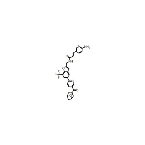 Nc1ccc(/C=C/C(=O)NCc2cc3cc(-c4ccc(C(=O)N5CC6CC(C5)O6)cn4)cc(C(F)(F)F)c3o2)cn1